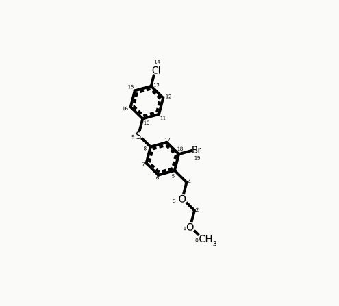 COCOCc1ccc(Sc2ccc(Cl)cc2)cc1Br